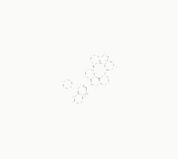 c1ccc(-c2nc(-c3cc4cccc5c6cccc7ccc8cccc(c9cccc3c9c45)c8c76)nc3ccccc23)cc1